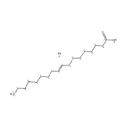 CCCCCCCCC=CCCCCCCCC(=O)O.[Fe]